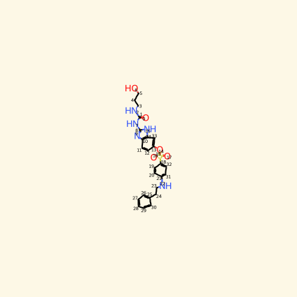 O=C(NCCCO)Nc1nc2ccc(OS(=O)(=O)c3ccc(NCCc4ccccc4)cc3)cc2[nH]1